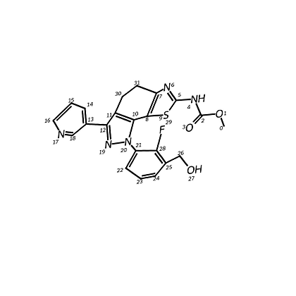 COC(=O)Nc1nc2c(s1)-c1c(c(-c3cccnc3)nn1-c1cccc(CO)c1F)CC2